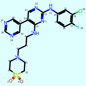 O=S1(=O)CCN(CCCNc2nc(Nc3ccc(F)c(Cl)c3)ncc2-c2cncnc2)CC1